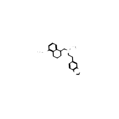 COc1cccc2c1CCCC2CN(C)CCc1ccc2c(c1)OCS2.CS(=O)(=O)O